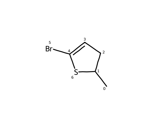 CC1CC=C(Br)S1